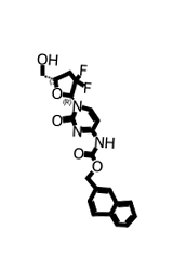 O=C(Nc1ccn([C@@H]2O[C@H](CO)CC2(F)F)c(=O)n1)OCc1ccc2ccccc2c1